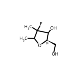 CC1O[C@H](CO)C(O)C1(C)F